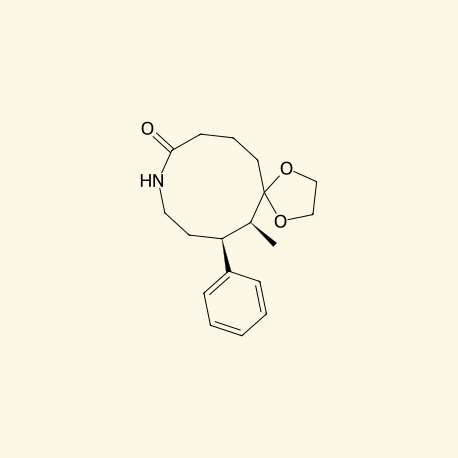 C[C@H]1[C@@H](c2ccccc2)CCNC(=O)CCCC12OCCO2